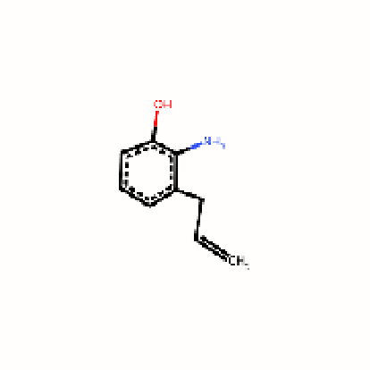 C=CCc1cccc(O)c1N